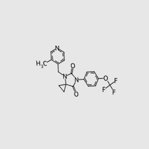 Cc1cnccc1CN1C(=O)N(c2ccc(OC(F)(F)F)cc2)C(=O)C12CC2